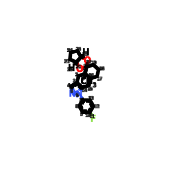 C[C@]12Cc3cnn(-c4ccc(F)cc4)c3C=C1CCCC21O[C@H]2CCC[C@H]2O1